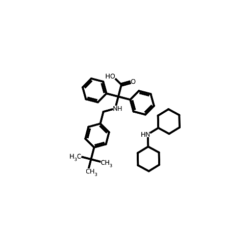 C1CCC(NC2CCCCC2)CC1.CC(C)(C)c1ccc(CNC(C(=O)O)(c2ccccc2)c2ccccc2)cc1